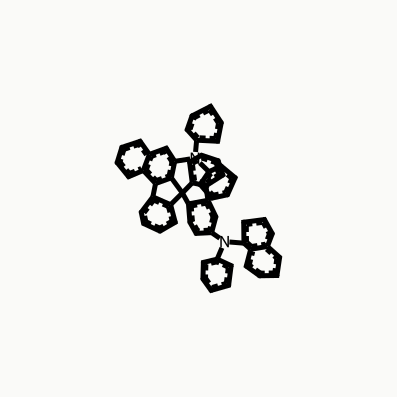 c1ccc(N(c2ccccc2)c2cc3ccccc3c3c2C2(c4ccccc4-c4cc(N(c5ccccc5)c5cccc6ccccc56)ccc42)c2ccccc2-3)cc1